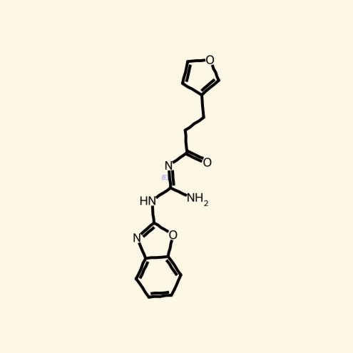 N/C(=N\C(=O)CCc1ccoc1)Nc1nc2ccccc2o1